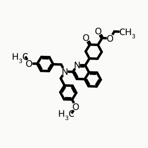 CCOC(=O)C1CCC(c2nc(N(Cc3ccc(OC)cc3)Cc3ccc(OC)cc3)cc3ccccc23)CC1=O